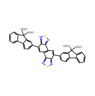 CCCCCCCCC1(CCCCCCCC)c2ccccc2-c2ccc(-c3cc4c(cc(-c5ccc6c(c5)C(CCCCCCCC)(CCCCCCCC)c5ccccc5-6)c5nsnc54)c4nsnc34)cc21